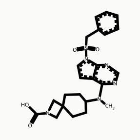 CN(c1ncnc2c1ccn2S(=O)(=O)Cc1ccccc1)C1CCC2(CC1)CN(C(=O)O)C2